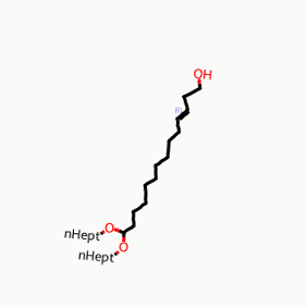 CCCCCCCOC(CCCCCCCCC/C=C/CCO)OCCCCCCC